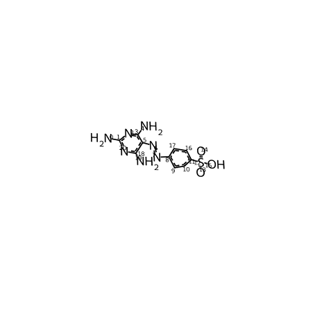 Nc1nc(N)c(N=Nc2ccc(S(=O)(=O)O)cc2)c(N)n1